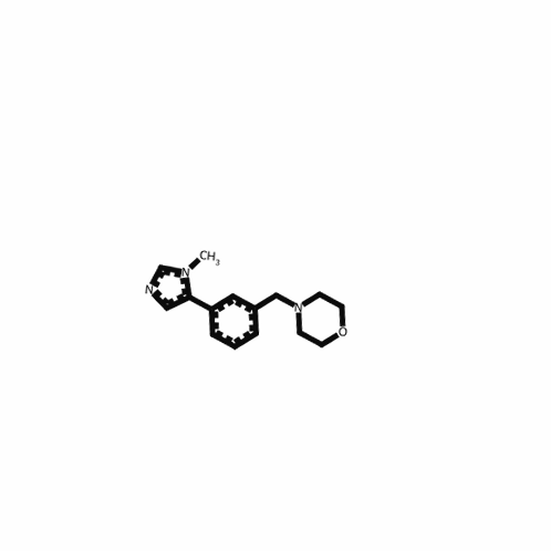 Cn1cncc1-c1c[c]cc(CN2CCOCC2)c1